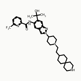 CC(C)(O)c1cc2nn(C3CCN(CCC4CCC5(CCNCC5)CC4)CC3)cc2cc1NC(=O)c1cccc(C(F)(F)F)n1